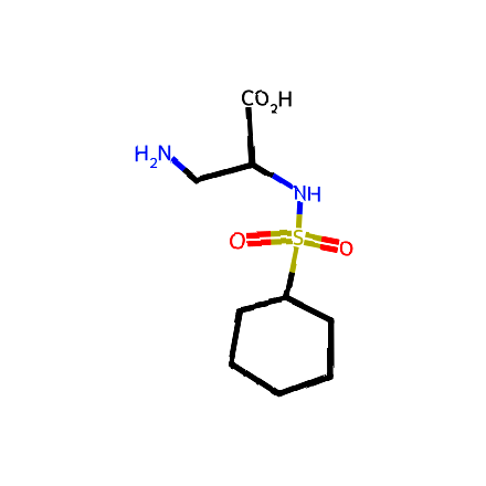 NCC(NS(=O)(=O)C1CCCCC1)C(=O)O